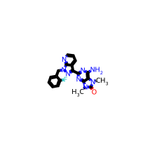 Cn1c(=O)n(C)c2c(N)nc(-c3nn(Cc4ccccc4F)c4ncccc34)nc21